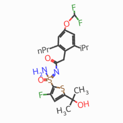 CCCc1cc(OC(F)F)cc(C(C)C)c1CC(=O)N=S(N)(=O)c1sc(C(C)(C)O)cc1F